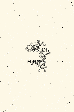 C#C[C@@]1(F)[C@H](O)[C@@H](COP(=O)(N[C@@H](C)C(=O)OCC)Oc2ccccc2)O[C@H]1n1cnc2c(N(C)C3CC3)nc(N)nc21